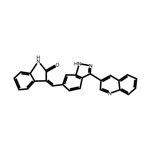 O=C1Nc2ccccc2C1=Cc1ccc2c(-c3cnc4ccccc4c3)n[nH]c2c1